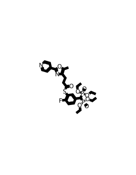 CCOP(=O)(OCC)C(c1ccc(F)c(SC(=O)CCc2nc(-c3ccncc3)oc2C)c1)P(=O)(OCC)OCC